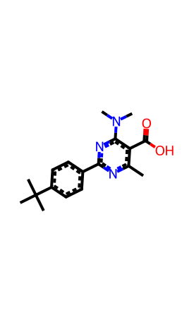 Cc1nc(-c2ccc(C(C)(C)C)cc2)nc(N(C)C)c1C(=O)O